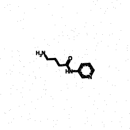 NCCCC(=O)Nc1cccnc1